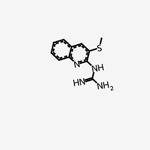 CSc1cc2ccccc2nc1NC(=N)N